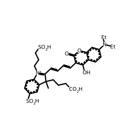 CCN(CC)c1ccc2c(O)c(/C=C/C=C/C3=[N+](CCCS(=O)(=O)O)c4ccc(S(=O)(=O)O)cc4C3(C)CCCC(=O)O)c(=O)oc2c1